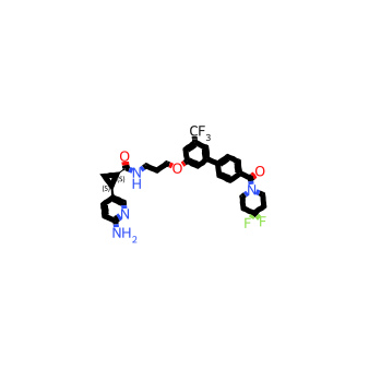 Nc1ccc([C@H]2C[C@@H]2C(=O)NCCCOc2cc(-c3ccc(C(=O)N4CCC(F)(F)CC4)cc3)cc(C(F)(F)F)c2)cn1